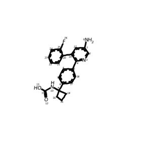 Nc1cnc(-c2ccc(C3(NC(=O)O)CCC3)cc2)c(-c2ccccc2F)c1